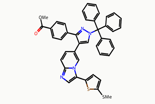 COC(=O)c1ccc(-c2nn(C(c3ccccc3)(c3ccccc3)c3ccccc3)cc2-c2ccc3ncc(-c4ccc(SC)s4)n3c2)cc1